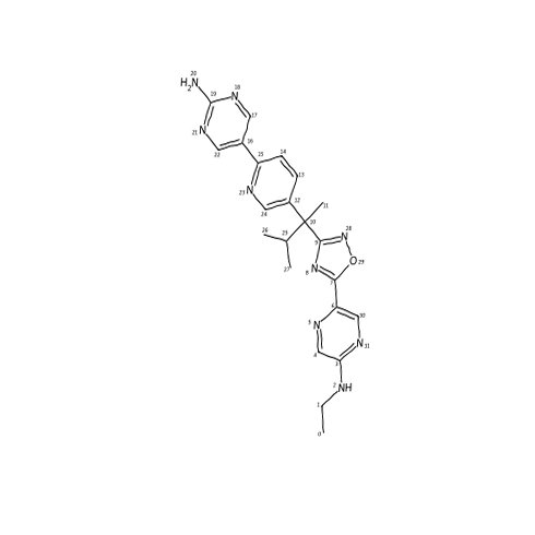 CCNc1cnc(-c2nc(C(C)(c3ccc(-c4cnc(N)nc4)nc3)C(C)C)no2)cn1